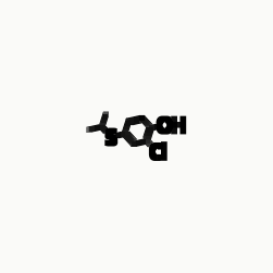 CC(C)Sc1ccc(O)c(Cl)c1